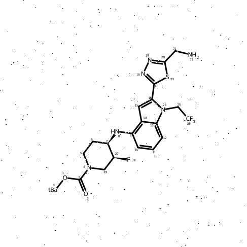 CC(C)(C)OC(=O)N1CC[C@@H](Nc2cccc3c2cc(-c2nnc(CN)s2)n3CC(F)(F)F)[C@@H](F)C1